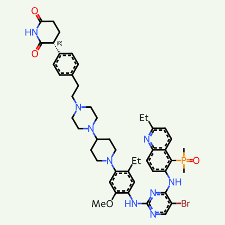 CCc1ccc2c(P(C)(C)=O)c(Nc3nc(Nc4cc(CC)c(N5CCC(N6CCN(CCc7ccc([C@H]8CCC(=O)NC8=O)cc7)CC6)CC5)cc4OC)ncc3Br)ccc2n1